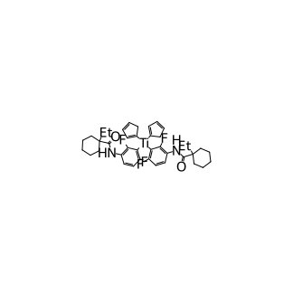 CCC1(C(=O)Nc2ccc(F)[c]([Ti]([C]3=CC=CC3)([C]3=CC=CC3)[c]3c(F)ccc(NC(=O)C4(CC)CCCCC4)c3F)c2F)CCCCC1